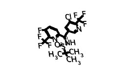 CC(C)(C)[S@@+]([O-])N[C@H](c1cnc(C(F)(F)F)c(Cl)c1)c1ccc(F)c(C(F)(F)F)n1